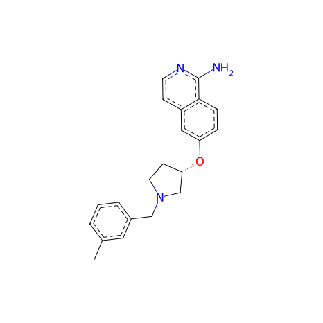 Cc1cccc(CN2CC[C@H](Oc3ccc4c(N)nccc4c3)C2)c1